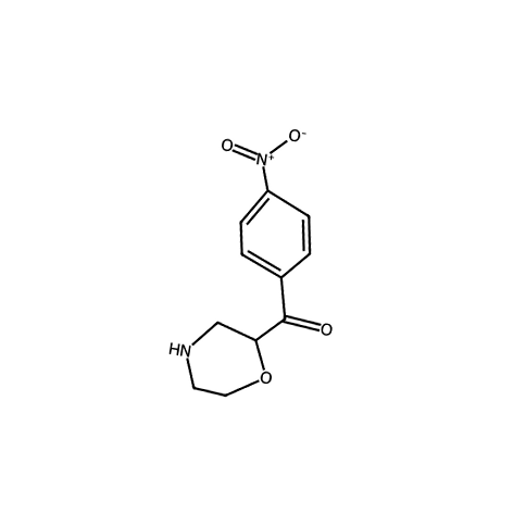 O=C(c1ccc([N+](=O)[O-])cc1)C1CNCCO1